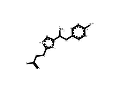 C=C(C)CCc1nc(C(N)Cc2ccc(F)cc2)cs1